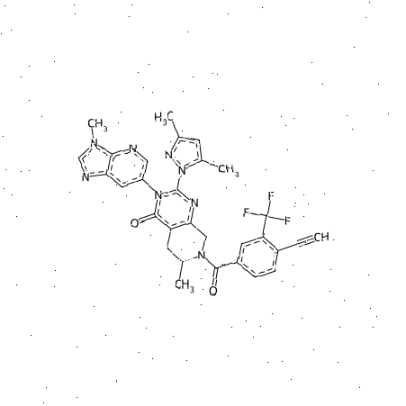 C#Cc1ccc(C(=O)N2Cc3nc(-n4nc(C)cc4C)n(-c4cnc5c(c4)ncn5C)c(=O)c3CC2C)cc1C(F)(F)F